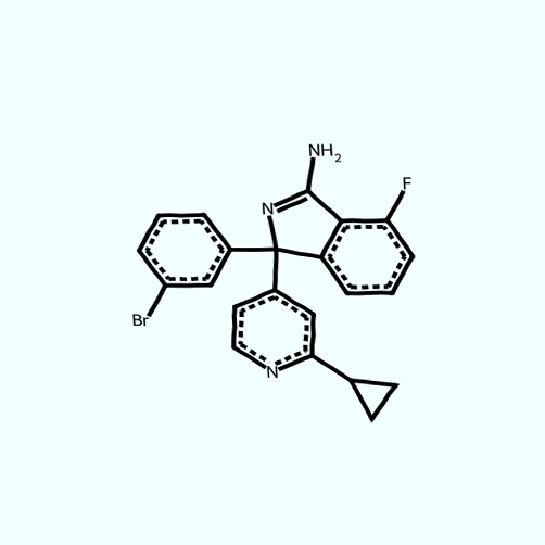 NC1=NC(c2cccc(Br)c2)(c2ccnc(C3CC3)c2)c2cccc(F)c21